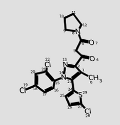 Cc1c(C(=O)CC(=O)N2CCCC2)nn(-c2ccc(Cl)cc2Cl)c1-c1ccc(Cl)s1